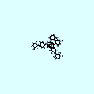 c1ccc(-c2ccc(-c3nc(-c4ccc(-c5ccccc5)cc4)nc(-c4cccc5oc6cccc(-c7ccccc7)c6c45)n3)cc2)cc1